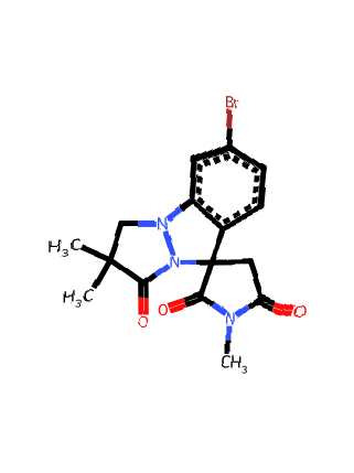 CN1C(=O)CC2(C1=O)c1ccc(Br)cc1N1CC(C)(C)C(=O)N12